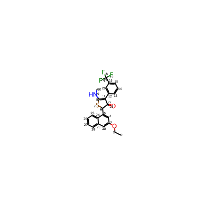 CCOc1cc(C2SC(NC)=C(c3cccc(C(F)(F)F)c3)C2=O)c2ccccc2c1